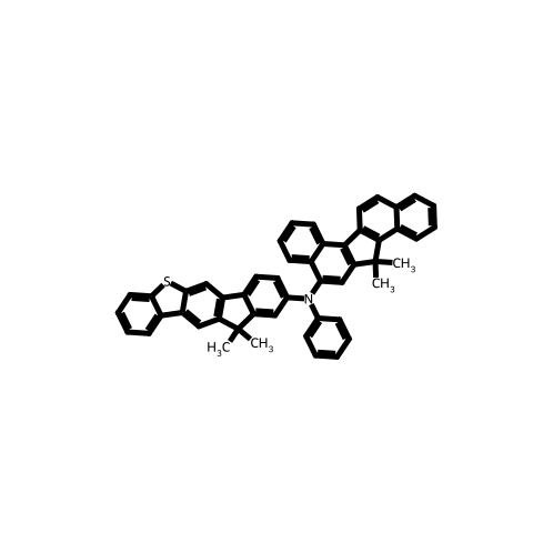 CC1(C)c2cc(N(c3ccccc3)c3cc4c(c5ccccc35)-c3ccc5ccccc5c3C4(C)C)ccc2-c2cc3sc4ccccc4c3cc21